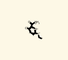 CCSc1ccc(Cl)c(C(N)=O)n1